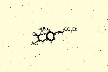 CCOC(=O)C=Cc1ccc(CC(C(C)=O)C(=O)OC(C)(C)C)cc1